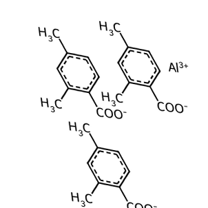 Cc1ccc(C(=O)[O-])c(C)c1.Cc1ccc(C(=O)[O-])c(C)c1.Cc1ccc(C(=O)[O-])c(C)c1.[Al+3]